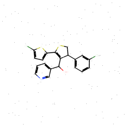 OC(C1=C(c2ccc(Cl)s2)SCC1c1cccc(Cl)c1)c1cccnc1